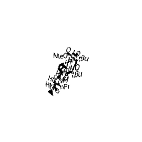 CCC[C@H](NC(=O)C1[C@H]2CCC[C@H]2CN1C(=O)[C@@H](NC(=O)[C@@H](NC(=O)[C@H](C)NC(=O)OC)C(C)(C)C)C(C)(C)C)C(O)C(=O)NC1CC1